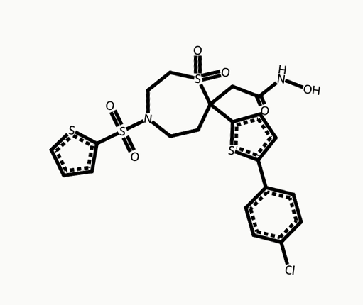 O=C(CC1(c2ccc(-c3ccc(Cl)cc3)s2)CCN(S(=O)(=O)c2cccs2)CCS1(=O)=O)NO